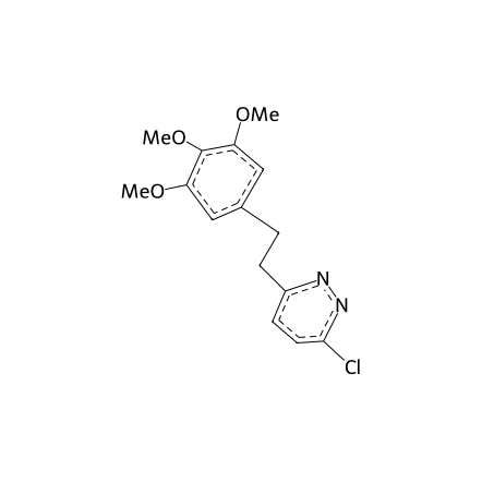 COc1cc(CCc2ccc(Cl)nn2)cc(OC)c1OC